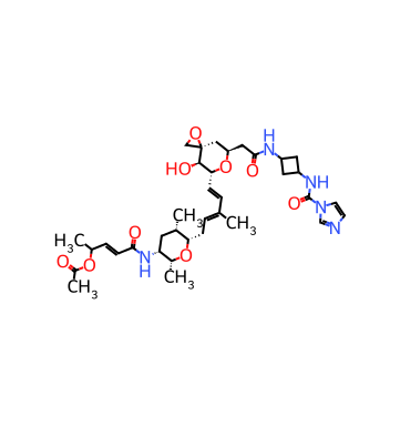 CC(=O)OC(C)C=CC(=O)N[C@@H]1C[C@H](C)[C@H](CC=C(C)C=C[C@H]2O[C@H](CC(=O)NC3CC(NC(=O)n4ccnc4)C3)C[C@@]3(CO3)[C@@H]2O)O[C@@H]1C